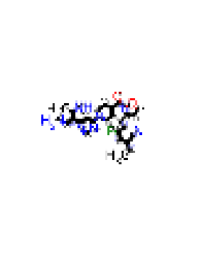 C\C=C(C#N)/C=C(F)\C=C\[C@@H]1CCON1C(=O)C1CCN(c2cc(/C(=C/N)C(C)=N)ncn2)CC1